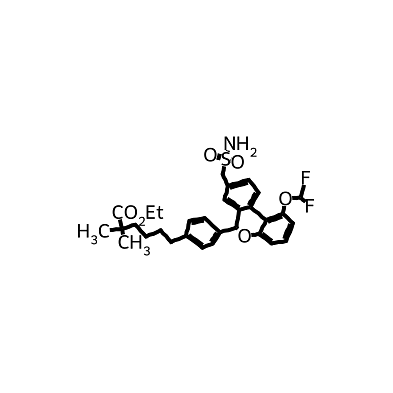 CCOC(=O)C(C)(C)CCCCc1ccc(C2Oc3cccc(OC(F)F)c3-c3ccc(CS(N)(=O)=O)cc32)cc1